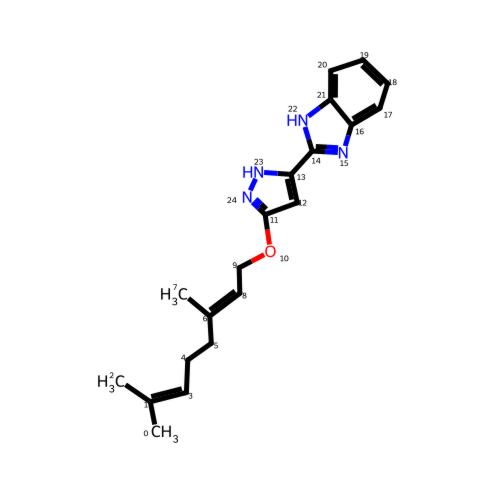 CC(C)=CCC/C(C)=C/COc1cc(-c2nc3ccccc3[nH]2)[nH]n1